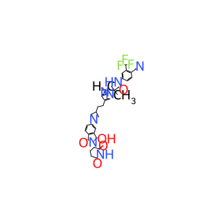 CC(C)(C(=O)Nc1ccc(C#N)c(C(F)(F)F)c1)n1cc(CCC2CN(c3ccc4c(c3)C(O)N(C3CCC(=O)NC3=O)C4=O)C2)cn1